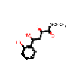 CN(O)C(=O)C(=O)CC(O)c1ccccc1O